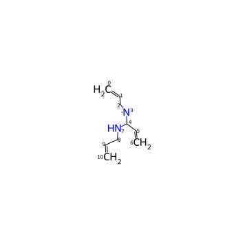 C=CC[N]C(C=C)NCC=C